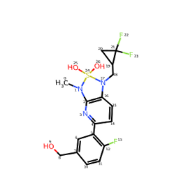 CN1c2nc(-c3cc(CO)ccc3F)ccc2N(CC2CC2(F)F)S1(O)O